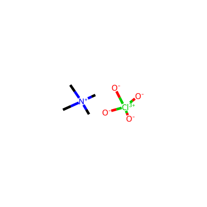 C[N+](C)(C)C.[O-][Cl+3]([O-])([O-])[O-]